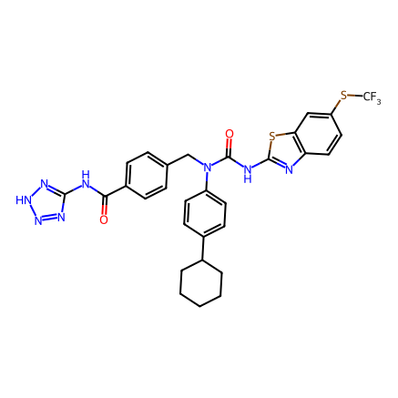 O=C(Nc1nn[nH]n1)c1ccc(CN(C(=O)Nc2nc3ccc(SC(F)(F)F)cc3s2)c2ccc(C3CCCCC3)cc2)cc1